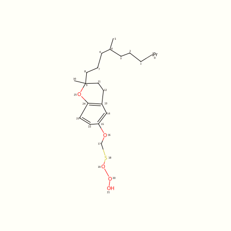 CC(C)CCCC(C)CCCC1(C)CCc2cc(OCSOOO)ccc2O1